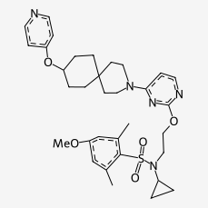 COc1cc(C)c(S(=O)(=O)N(CCOc2nccc(N3CCC4(CCC(Oc5ccncc5)CC4)CC3)n2)C2CC2)c(C)c1